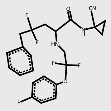 N#CC1(NC(=O)C(CC(F)(F)Cc2ccccc2)NCC(F)(F)Oc2ccc(F)cc2)CC1